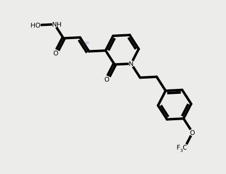 O=C(/C=C/c1cccn(CCc2ccc(OC(F)(F)F)cc2)c1=O)NO